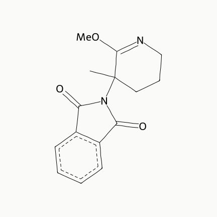 COC1=NCCCC1(C)N1C(=O)c2ccccc2C1=O